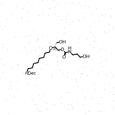 CCCCCCCCCCCCCCCCCCO[C@H](CO)COC(=O)NCCCO